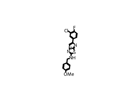 COc1ccc(CNc2nn3cc(-c4ccc(F)c(Cl)c4)nc3s2)cc1